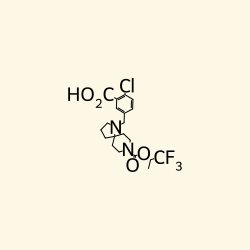 CC(OC(=O)N1CCC2(CCCN2Cc2ccc(Cl)c(C(=O)O)c2)CC1)C(F)(F)F